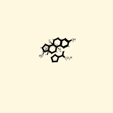 CC(C(=O)O)C1CCCC1.C[C@]12CC[C@@H]3c4ccc(O)cc4CC[C@H]3[C@@H]1CC[C@@H]2O